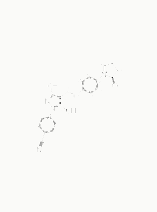 Cc1nn(-c2ccc(C#N)cc2)c(C)c1COc1ccc(N2CCCC2=O)cc1